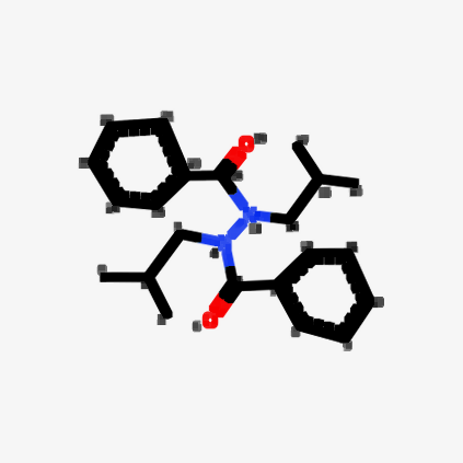 CC(C)CN(C(=O)c1ccccc1)N(CC(C)C)C(=O)c1ccccc1